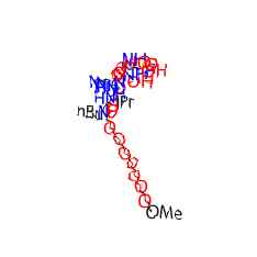 CCCCN(CC(=O)N[C@@H](CC(C)C)C(=O)N[C@@H](Cc1cnc[nH]1)C(=O)N[C@@H](CO)C(=O)N[C@H](C(N)=O)[C@@H](C)CP(=O)(O)O)C(=O)CCOCCOCCOCCOCCOCCOCCOCCOC